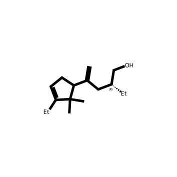 C=C(C[C@@H](CC)CO)C1CC=C(CC)C1(C)C